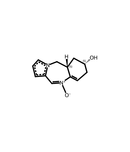 [O-][N+]1=Cc2cccn2C[C@@H]2C[C@H](O)CC=C21